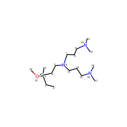 CC[Si](C)(CCN(CCCN(C)C)CCCN(C)C)OC